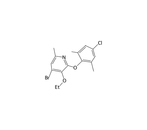 CCOc1c(Br)cc(C)nc1Oc1c(C)cc(Cl)cc1C